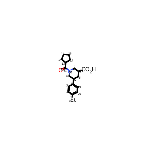 CCc1ccc(C2CC(C(=O)O)CN(C(=O)C3CCCC3)C2)cc1